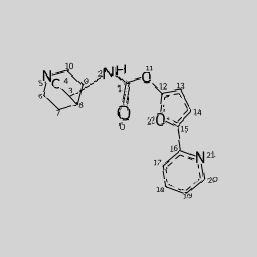 O=C(NC1CN2CCC1CC2)Oc1ccc(-c2ccccn2)o1